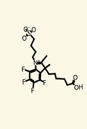 CC1=[N+](CCCCS(=O)(=O)[O-])c2c(F)c(F)c(F)c(F)c2C1(C)CCCCCC(=O)O